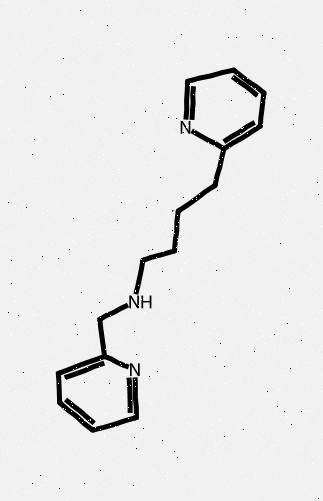 [CH](CCNCc1ccccn1)Cc1ccccn1